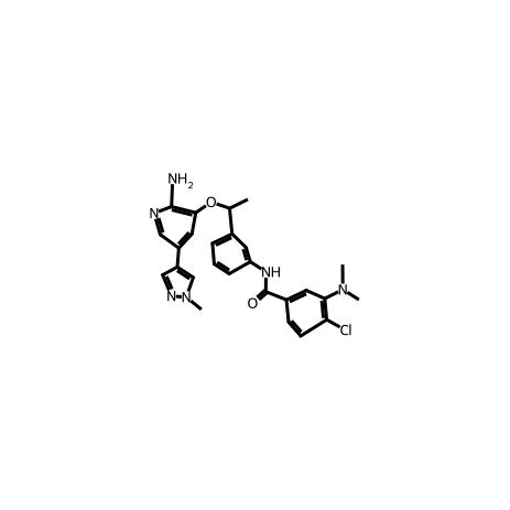 CC(Oc1cc(-c2cnn(C)c2)cnc1N)c1cccc(NC(=O)c2ccc(Cl)c(N(C)C)c2)c1